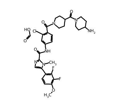 COc1ccc(-c2cnc(C(=O)Nc3ccc(C(=O)N4CCC(C(=O)N5CCC(N)CC5)CC4)c(Cl)c3)n2C)c(F)c1F.O=CO